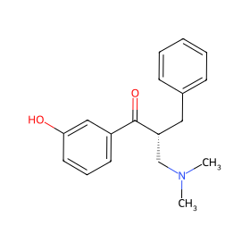 CN(C)C[C@@H](Cc1ccccc1)C(=O)c1cccc(O)c1